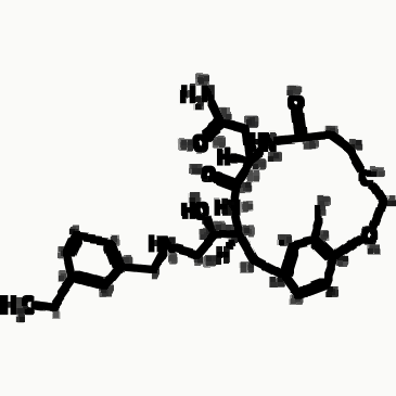 CCc1cccc(CNC[C@@H](O)[C@@H]2Cc3ccc(c(F)c3)OCCCCC(=O)N[C@@H](CC(N)=O)C(=O)N2)c1